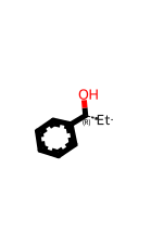 C[CH][C@@H](O)c1ccccc1